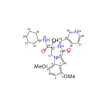 COc1ccc(OC)c2c1cc1n2CC(C)(C(=O)NC2CCCCC2)N(Cc2cccnc2)C1=O